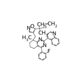 C=CCC(C)(C)c1oncc1C[C@]1(C)CCCc2c(-c3ccccc3F)nc(-c3ccnc4ccccc34)nc21